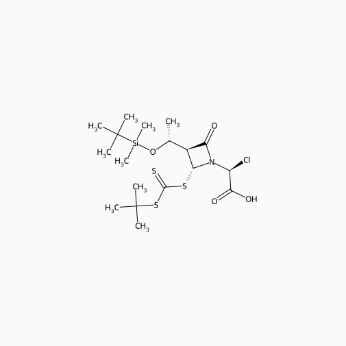 C[C@@H](O[Si](C)(C)C(C)(C)C)[C@H]1C(=O)N([C@@H](Cl)C(=O)O)[C@@H]1SC(=S)SC(C)(C)C